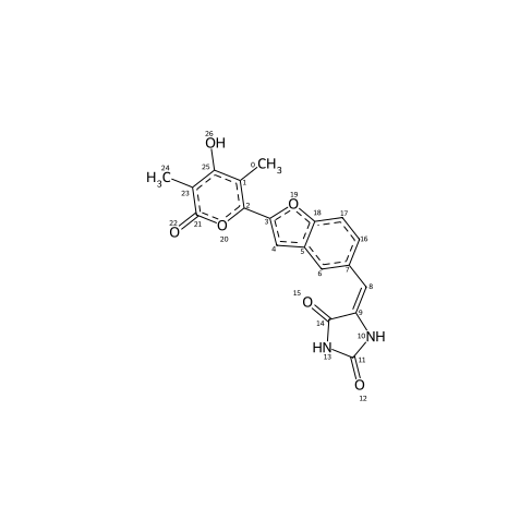 Cc1c(-c2cc3cc(C=C4NC(=O)NC4=O)ccc3o2)oc(=O)c(C)c1O